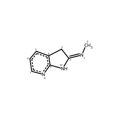 C/N=C1\Cc2cccnc2N1